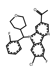 CC(=O)c1cnc2c3cc(F)c(Cl)cc3n(C(c3ccccc3F)C3CCOCC3)c2c1